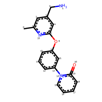 Cc1cc(CN)cc(Oc2cccc(-n3ccccc3=O)c2)n1